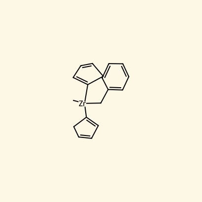 [CH3][Zr]([CH2]c1ccccc1)([C]1=CC=CC1)[C]1=CC=CC1